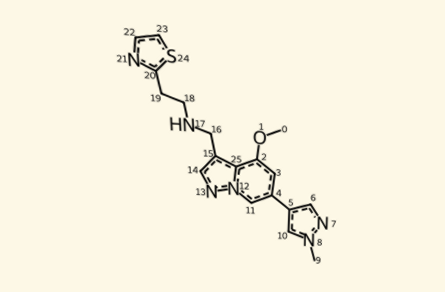 COc1cc(-c2cnn(C)c2)cn2ncc(CNCCc3nccs3)c12